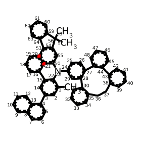 Cc1cc(-c2cccc3ccccc23)cc(-c2ccccc2)c1N(c1ccc2c(c1)-c1ccccc1CCc1ccccc1-c1ccccc1-2)c1ccc2c(c1)C(C)(C)c1ccccc1-2